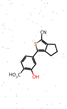 N#Cc1sc(-c2ccc(C(=O)O)c(O)c2)c2c1CCC2